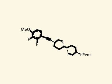 CCCCC[C@H]1CC[C@H]([C@H]2CC[C@H](C#Cc3ccc(OC)c(F)c3F)CC2)CC1